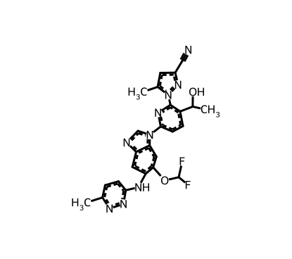 Cc1ccc(Nc2cc3ncn(-c4ccc(C(C)O)c(-n5nc(C#N)cc5C)n4)c3cc2OC(F)F)nn1